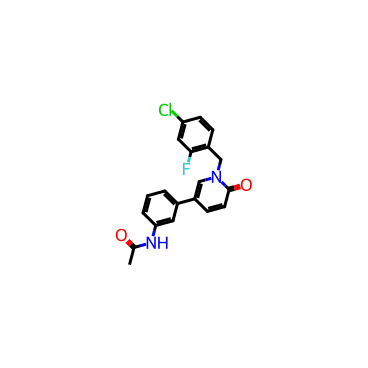 CC(=O)Nc1cccc(-c2ccc(=O)n(Cc3ccc(Cl)cc3F)c2)c1